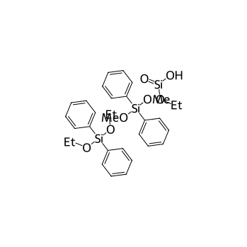 CCO[Si](=O)O.CCO[Si](OCC)(c1ccccc1)c1ccccc1.CO[Si](OC)(c1ccccc1)c1ccccc1